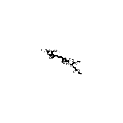 CCOC(=O)CC[C@H](NC(=O)c1cc(CCCc2coc3nc(N)nc(N)c23)cs1)C(=O)OCC